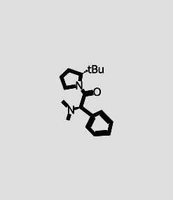 CN(C)[C@@H](C(=O)N1CCC[C@@H]1C(C)(C)C)c1ccccc1